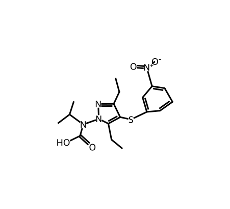 CCc1nn(N(C(=O)O)C(C)C)c(CC)c1Sc1cccc([N+](=O)[O-])c1